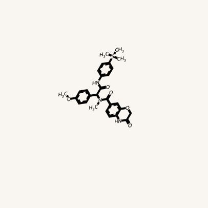 COc1ccc(C(C(=O)Nc2ccc(S(C)(C)C)cc2)N(C)C(=O)c2ccc3c(c2)OCC(=O)N3)cc1